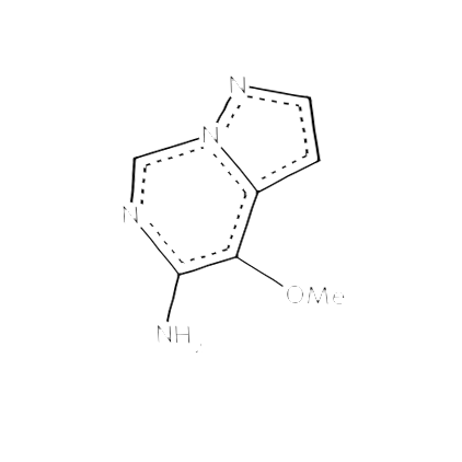 COc1c(N)ncn2nccc12